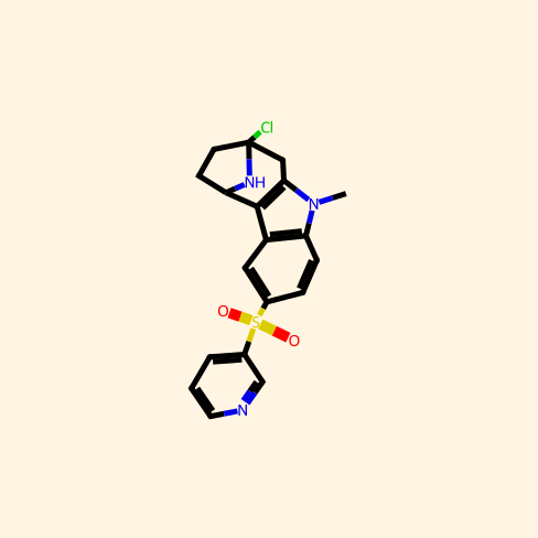 Cn1c2c(c3cc(S(=O)(=O)c4cccnc4)ccc31)C1CCC(Cl)(C2)N1